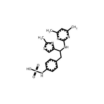 Cc1cc(C)nc(NC(Cc2ccc(NS(=O)(=O)O)cc2)c2csc(C)n2)n1